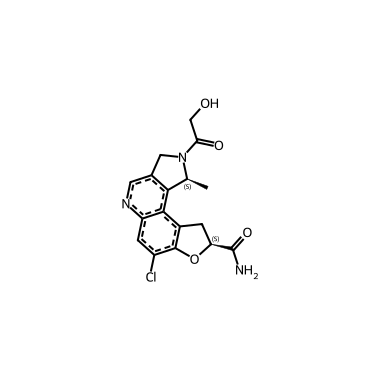 C[C@H]1c2c(cnc3cc(Cl)c4c(c23)C[C@@H](C(N)=O)O4)CN1C(=O)CO